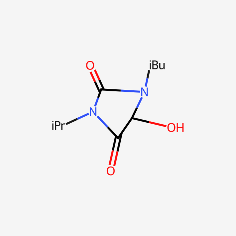 CCC(C)N1C(=O)N(C(C)C)C(=O)C1O